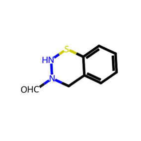 O=CN1Cc2ccccc2SN1